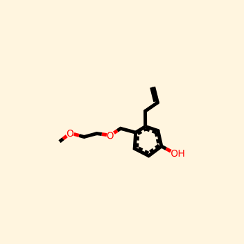 C=CCc1cc(O)ccc1COCCOC